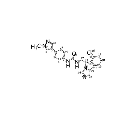 Cn1cc(-c2ccc(NC(=O)NCC3c4c(Cl)cccc4-c4cncn43)cc2)cn1